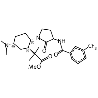 COC(=O)C(C)(C)[C@H]1C[C@H](N(C)C)CC[C@@H]1N1CCC(NC(=O)c2cccc(C(F)(F)F)c2)C1=O